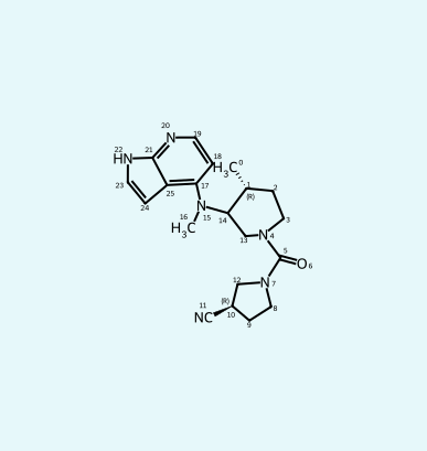 C[C@@H]1CCN(C(=O)N2CC[C@@H](C#N)C2)CC1N(C)c1ccnc2[nH]ccc12